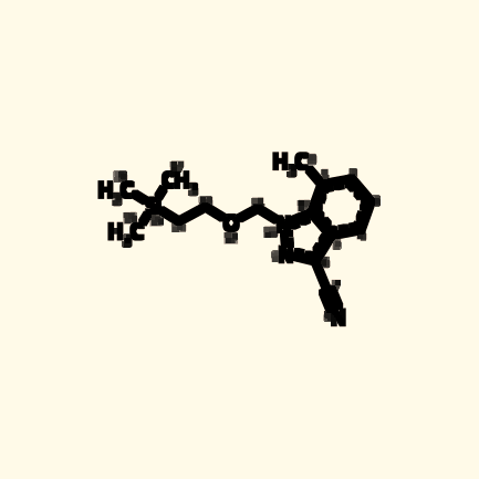 Cc1cccc2c(C#N)nn(COCC[Si](C)(C)C)c12